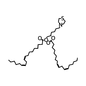 CCCCC/C=C\C/C=C\CCCCCCCC(=O)OCC(CCCCN1CCSCC1)OC(=O)CCCCCCC/C=C\C/C=C\CCCCC